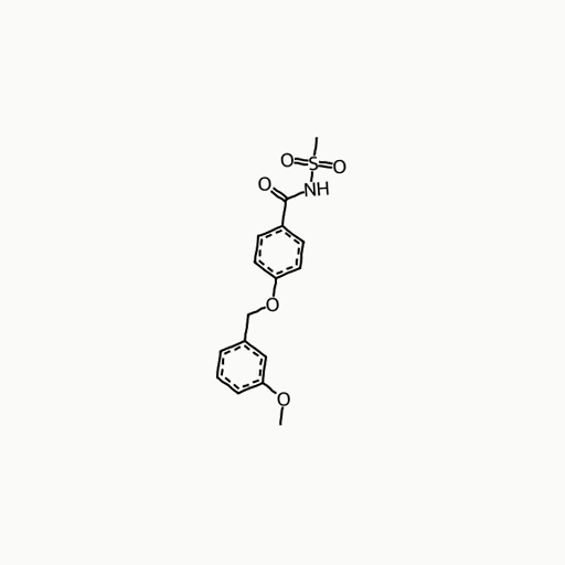 COc1cccc(COc2ccc(C(=O)NS(C)(=O)=O)cc2)c1